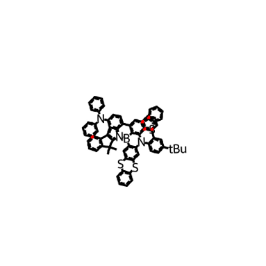 CC(C)(C)c1ccc(N2c3cc4c(cc3B3c5c(cc6c(sc7ccccc76)c52)-c2ccc(N(c5ccccc5)c5ccccc5)c5c6c(n3c25)C(C)(C)c2ccccc2-6)Sc2ccccc2S4)c(-c2ccccc2)c1